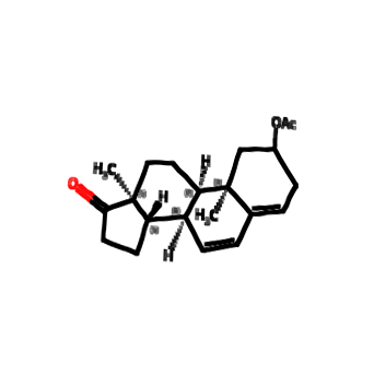 CC(=O)OC1CC=C2C=C[C@@H]3[C@@H](CC[C@]4(C)C(=O)CC[C@@H]34)[C@@]2(C)C1